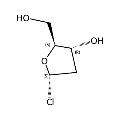 OC[C@@H]1O[C@@H](Cl)C[C@H]1O